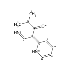 CC(C)C(=O)/C(C=N)=C1\C=CC=CN1